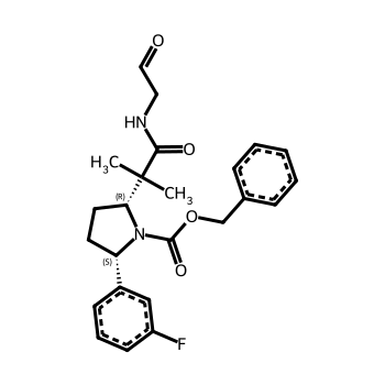 CC(C)(C(=O)NCC=O)[C@H]1CC[C@@H](c2cccc(F)c2)N1C(=O)OCc1ccccc1